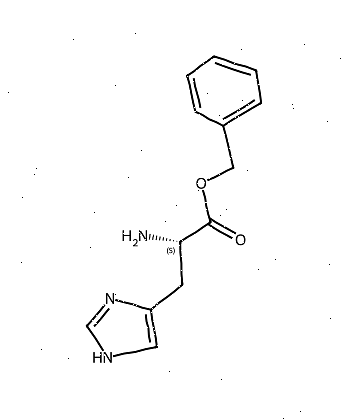 N[C@@H](Cc1c[nH]cn1)C(=O)OCc1ccccc1